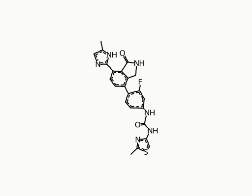 Cc1cnc(-c2ccc(-c3ccc(NC(=O)Nc4csc(C)n4)cc3F)c3c2C(=O)NC3)[nH]1